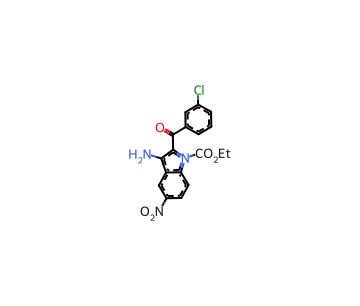 CCOC(=O)n1c(C(=O)c2cccc(Cl)c2)c(N)c2cc([N+](=O)[O-])ccc21